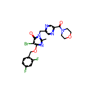 Cc1nc(OCc2ccc(F)cc2F)c(Br)c(=O)n1Cc1cnc(C(=O)N2CCOCC2)cn1